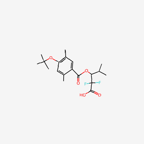 Cc1cc(C(=O)OC(C(C)C)C(F)(F)C(=O)O)c(C)cc1OC(C)(C)C